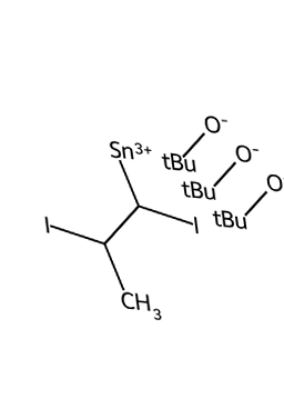 CC(C)(C)[O-].CC(C)(C)[O-].CC(C)(C)[O-].CC(I)[CH]([Sn+3])I